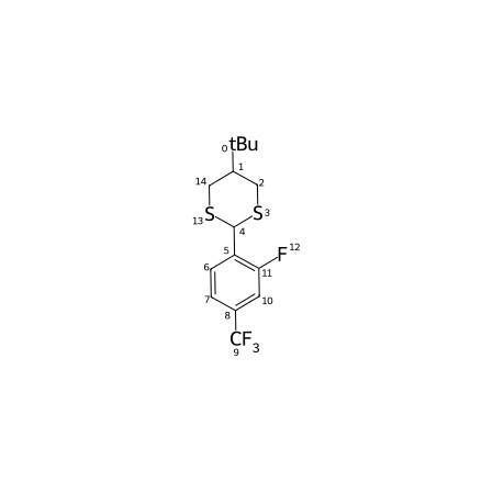 CC(C)(C)C1CSC(c2ccc(C(F)(F)F)cc2F)SC1